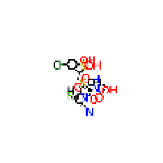 CC(C)([C@H](NC(=O)O)C(=O)N1C[C@@H](F)C[C@H]1C#N)S(=O)(=O)CC1=CS(O)(O)c2ccc(Cl)cc21